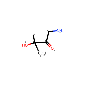 CC(O)(C(=O)O)C(=O)CN